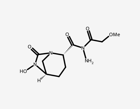 COCC(=O)N(N)C(=O)[C@@H]1CC[C@@H]2CN1C(=O)N2O